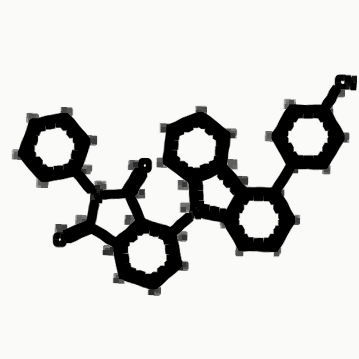 N#Cc1ccc(-c2cccc3c2c2ccccc2n3-c2cccc3c2C(=O)N(c2ccccc2)C3=O)cc1